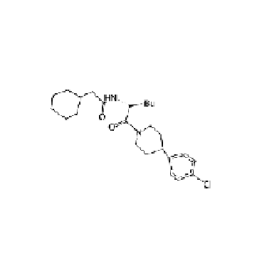 CC[C@H](C)[C@@H](NC(=O)CC1CCCCC1)C(=O)N1CCC(c2ccc(Cl)cc2)CC1